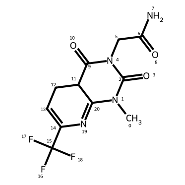 CN1C(=O)N(CC(N)=O)C(=O)C2CC=C(C(F)(F)F)N=C21